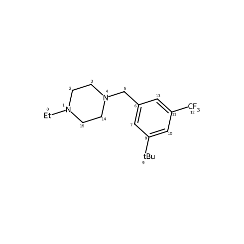 CCN1CCN(Cc2cc(C(C)(C)C)cc(C(F)(F)F)c2)CC1